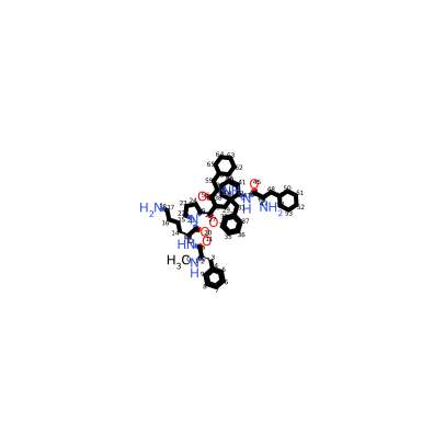 CN[C@@H](Cc1ccccc1)C(=O)N[C@@H](CCCCN)C(=O)N1CCC[C@H]1C(=O)C(CC1(Cc2ccccc2)C=CC=CC1NC(=O)[C@@H](N)CC1CCCCC1)C(=O)[C@H](N)CC1CCCCC1